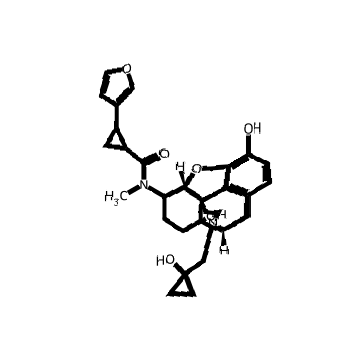 CN(C(=O)C1CC1c1ccoc1)C1CC[C@@]2(O)[C@H]3Cc4ccc(O)c5c4[C@@]2(CCN3CC2(O)CC2)[C@H]1O5